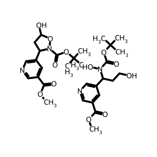 COC(=O)c1cncc(C(CCO)N(O)C(=O)OC(C)(C)C)c1.COC(=O)c1cncc(C2CC(O)ON2C(=O)OC(C)(C)C)c1